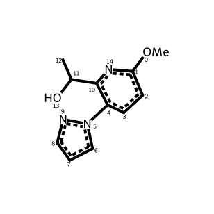 COc1ccc(-n2cccn2)c(C(C)O)n1